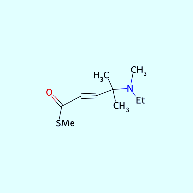 [CH2]CN(C)C(C)(C)C#CC(=O)SC